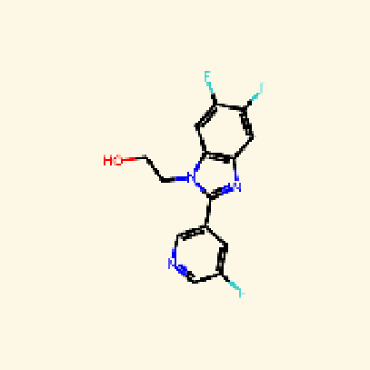 OCCn1c(-c2cncc(F)c2)nc2cc(F)c(F)cc21